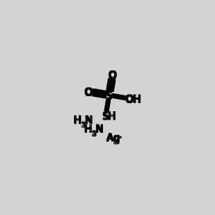 N.N.O=S(=O)(O)S.[Ag]